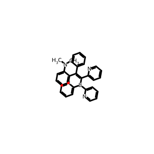 CN(C)c1ccccc1/C(=C(\B(c1ccccn1)c1ccccn1)c1ccccn1)c1ccccc1